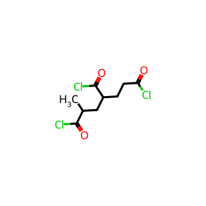 CC(CC(CCC(=O)Cl)C(=O)Cl)C(=O)Cl